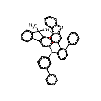 CC1(C)c2ccccc2-c2cc(N(c3cccc(-c4ccccc4)c3)c3cccc(-c4ccccc4)c3-c3ccc4c(c3)oc3ccccc34)ccc21